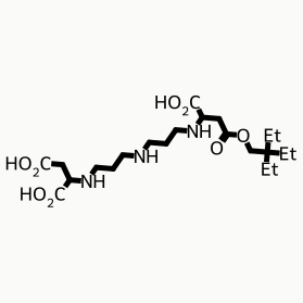 CCC(CC)(CC)COC(=O)CC(NCCCNCCCNC(CC(=O)O)C(=O)O)C(=O)O